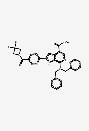 CNC(=O)c1cnc(N(Cc2ccccc2)Cc2ccccc2)c2[nH]c(-c3ccc(C(=O)N4CC(F)(F)C4)cn3)cc12